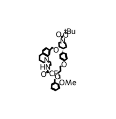 COc1ccccc1COCCCOc1ccc([C@H]2CCN(C(=O)OC(C)(C)C)C[C@@H]2OCc2ccc3c(c2)N(CCNC(=O)C(F)(F)F)CCC3)cc1